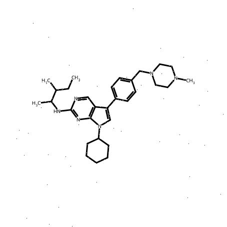 CCC(C)C(C)Nc1ncc2c(-c3ccc(CN4CCN(C)CC4)cc3)cn(C3CCCCC3)c2n1